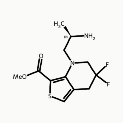 COC(=O)c1scc2c1N(C[C@@H](C)N)CC(F)(F)C2